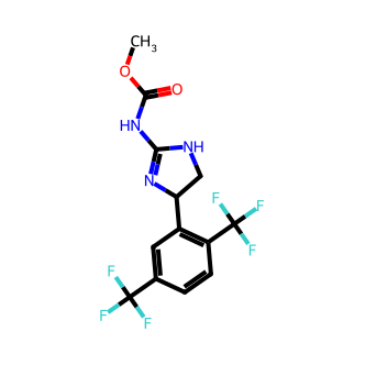 COC(=O)NC1=NC(c2cc(C(F)(F)F)ccc2C(F)(F)F)CN1